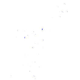 CCOc1ccc(-c2ccc3nc(NCc4ccc(-n5cncn5)cc4)nc(NCC(F)(F)F)c3n2)cc1S(N)(=O)=O